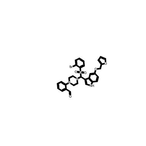 O=Cc1ccccc1N1CCN(C(c2c[nH]c3ccc(OCc4ccco4)cc23)S(=O)(=O)c2ccccc2Br)CC1